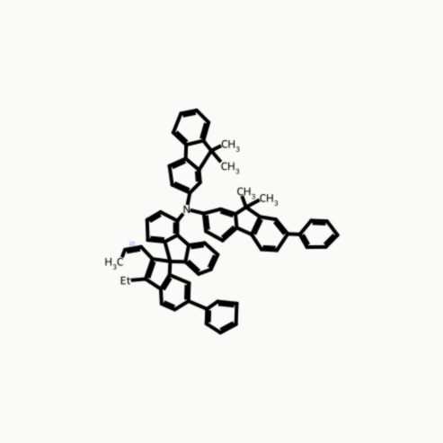 C/C=C\C1=C(CC)c2ccc(-c3ccccc3)cc2C12c1ccccc1-c1c(N(c3ccc4c(c3)C(C)(C)c3ccccc3-4)c3ccc4c(c3)C(C)(C)c3cc(-c5ccccc5)ccc3-4)cccc12